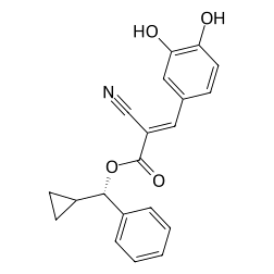 N#C/C(=C\c1ccc(O)c(O)c1)C(=O)O[C@H](c1ccccc1)C1CC1